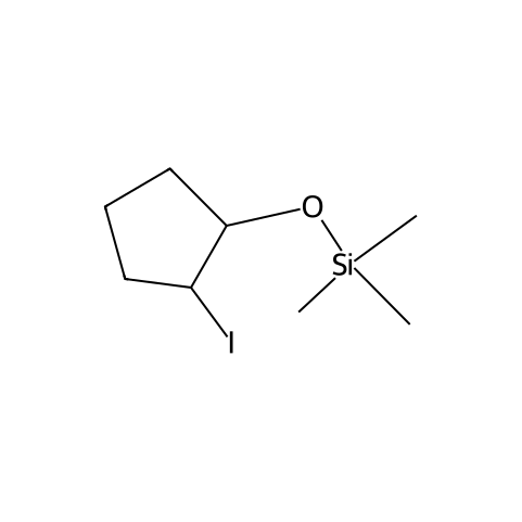 C[Si](C)(C)OC1CCCC1I